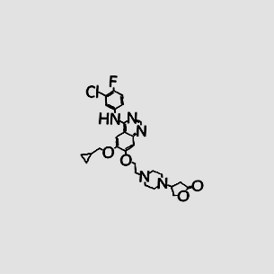 O=C1CC(N2CCN(CCOc3cc4ncnc(Nc5ccc(F)c(Cl)c5)c4cc3OCC3CC3)CC2)CO1